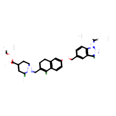 CCOC(=O)C1CCN(CC2=C(Cl)c3ccc(OCc4ccc5c(c4)c(Cl)nn5C(C)C)cc3CC2)C(F)C1